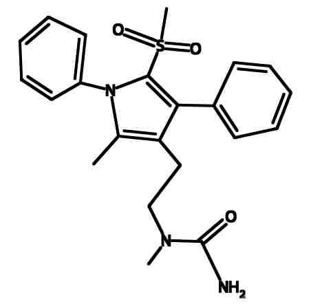 Cc1c(CCN(C)C(N)=O)c(-c2ccccc2)c(S(C)(=O)=O)n1-c1ccccc1